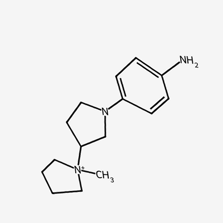 C[N+]1(C2CCN(c3ccc(N)cc3)C2)CCCC1